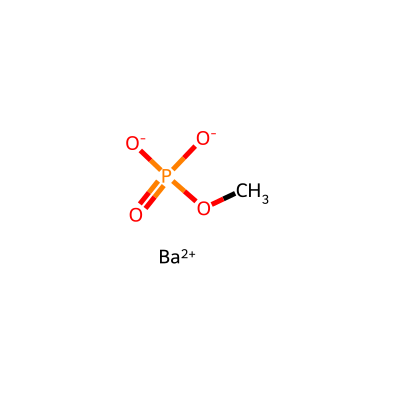 COP(=O)([O-])[O-].[Ba+2]